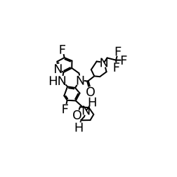 O=C(C1CCN(CC(F)(F)F)CC1)N1Cc2cc(F)cnc2Nc2cc(F)c(N3C[C@@H]4CC[C@H]3CO4)cc21